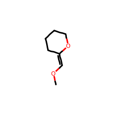 COC=C1CCCCO1